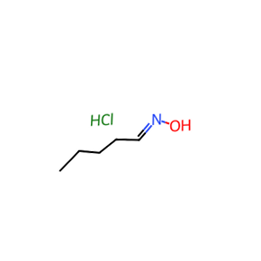 CCCCC=NO.Cl